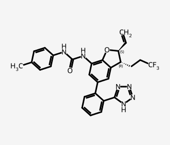 C=C[C@@H]1Oc2c(NC(=O)Nc3ccc(C)cc3)cc(-c3ccccc3-c3nnn[nH]3)cc2[C@H]1CCC(F)(F)F